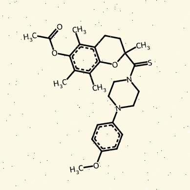 COc1ccc(N2CCN(C(=S)C3(C)CCc4c(C)c(OC(C)=O)c(C)c(C)c4O3)CC2)cc1